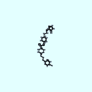 Cc1ccc(CCCN2CCN(C(=O)Oc3ccc(CCSc4ncc[nH]4)cc3)CC2)nc1